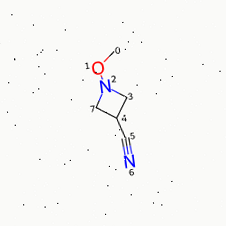 CON1CC(C#N)C1